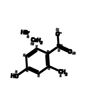 Br.Cc1cc(O)ccc1[N+](=O)[O-].[CaH2]